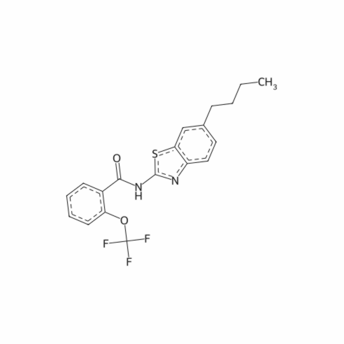 CCCCc1ccc2nc(NC(=O)c3ccccc3OC(F)(F)F)sc2c1